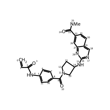 C=CC(=O)Nc1ccc(C(=O)N2CCC(Nc3ncc4ccc(C(=O)NC)cc4n3)C2)cc1